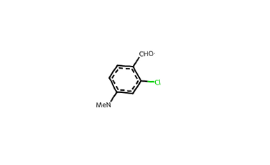 CNc1ccc([C]=O)c(Cl)c1